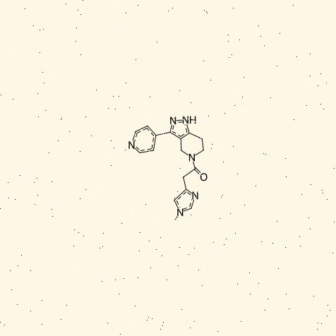 Cn1cnc(CC(=O)N2CCc3[nH]nc(-c4ccncc4)c3C2)c1